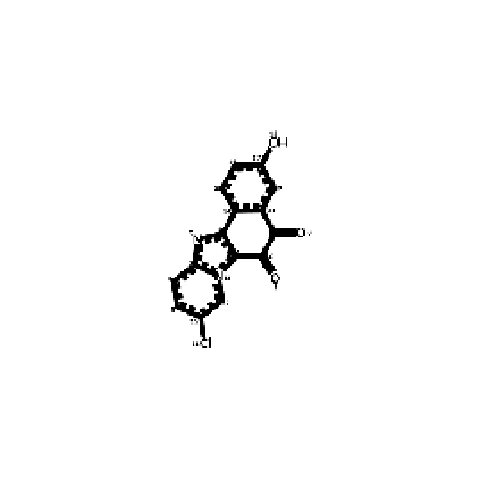 O=C1C(=O)c2c(nc3ccc(Cl)cn23)-c2ccc(O)cc21